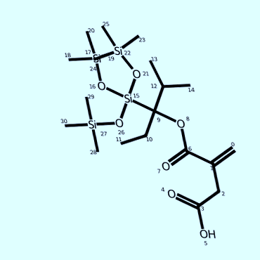 C=C(CC(=O)O)C(=O)OC(CC)(C(C)C)[Si](O[Si](C)(C)C)(O[Si](C)(C)C)O[Si](C)(C)C